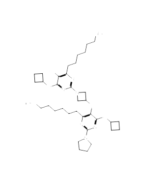 CCCCCCCCCCCCCCCCc1nc(N2CC(Oc3c(CCCCCCCCCCCCCCCC)nc(N4CCCC4)nc3OC3CCC3)C2)nc(OC2CCC2)c1O